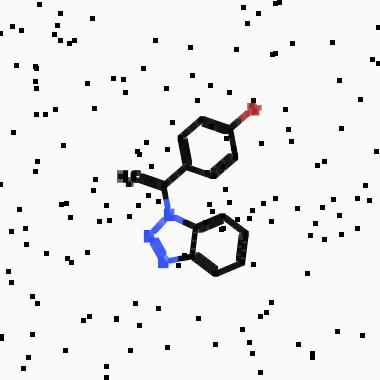 C=C(c1ccc(Br)cc1)n1nnc2ccccc21